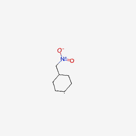 O=[N+]([O-])CC1CC[CH]CC1